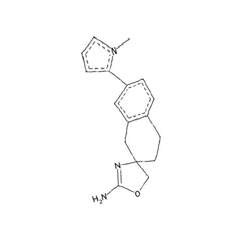 Cn1cccc1-c1ccc2c(c1)CC1(CC2)COC(N)=N1